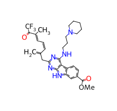 C=C(/C=C\C=C(/C)C(=O)C(F)(F)F)Cc1nc(NCCCN2CCCCC2)c2c(n1)[nH]c1cc(C(=O)OC)ccc12